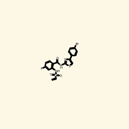 C=CS(=O)(=O)Nc1cc(F)ccc1C(=O)Nc1nc(-c2ccc(Br)cc2)cs1